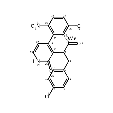 COC(=O)C(Cc1ccc(Cl)cc1)c1c(-c2cc(Cl)ccc2[N+](=O)[O-])cc[nH]c1=O